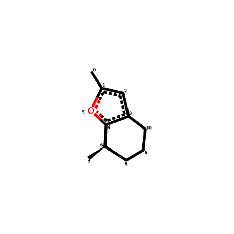 Cc1cc2c(o1)[C@H](C)CCC2